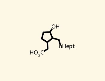 CCCCCCCCC1C(O)CCC1CC(=O)O